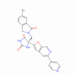 CCc1ccc2c(c1)C(=O)N(C[C@@]1(c3cc4cc(-c5ccncc5)ncc4o3)NC(=O)NC1=O)C2